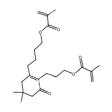 C=C(C)C(=O)OCCCCC1=C(CCCOC(=O)C(=C)C)C(=O)CC(C)(C)C1